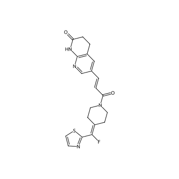 O=C1CCc2cc(C=CC(=O)N3CCC(=C(F)c4nccs4)CC3)cnc2N1